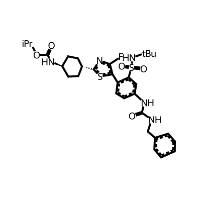 CC(C)OC(=O)N[C@H]1CC[C@H](c2nc(F)c(-c3ccc(NC(=O)NCc4ccccc4)cc3S(=O)(=O)NC(C)(C)C)s2)CC1